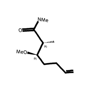 C=CCC[C@@H](OC)[C@@H](C)C(=O)NC